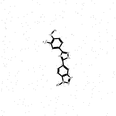 CC(C)Oc1ccc(-c2noc(-c3ccc4c(c3)nnn4C(C)C)n2)cc1C(F)(F)F